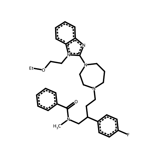 CCOCCn1c(N2CCCN(CCC(CN(C)C(=O)c3ccccc3)c3ccc(F)cc3)CC2)nc2ccccc21